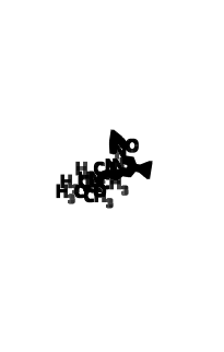 CC(C)(N[S@+]([O-])C(C)(C)C)c1cc2cc(C3CC3)cc(N3CC4CC4C3=O)n2n1